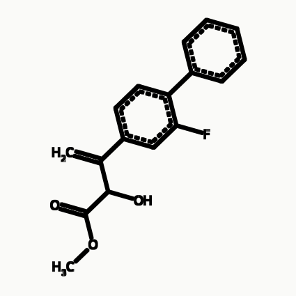 C=C(c1ccc(-c2ccccc2)c(F)c1)C(O)C(=O)OC